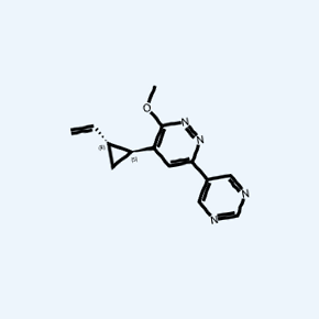 C=C[C@H]1C[C@@H]1c1cc(-c2cncnc2)nnc1OC